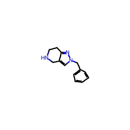 c1ccc(Cn2cc3c(n2)CCNC3)cc1